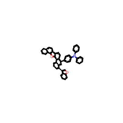 c1ccc(N(c2ccccc2)c2ccc(-c3cc4c(-c5coc6ccccc56)cccc4c4c3ccc3c5ccc6ccccc6c5oc34)cc2)cc1